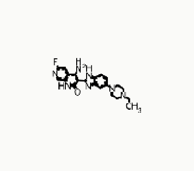 CCN1CCN(c2ccc3[nH]c(-c4c(N)c5cc(F)ncc5[nH]c4=O)nc3c2)CC1